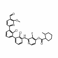 COc1nc(-c2cccc(-c3cccc(Nc4nccc(OC(=O)C5CCCCN5C)c4F)c3Cl)c2Cl)ccc1C=O